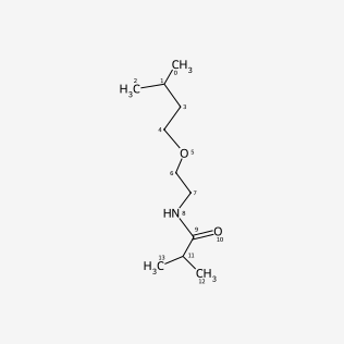 CC(C)CCOCCNC(=O)C(C)C